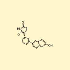 O=c1ccn(-c2cccc(-c3ccc4cc(O)ccc4c3)c2)c(=O)[nH]1